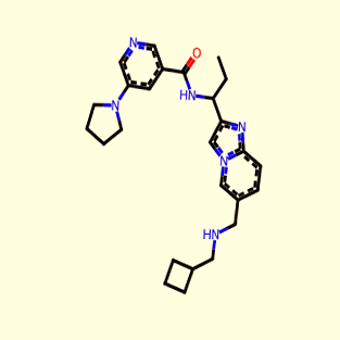 CCC(NC(=O)c1cncc(N2CCCC2)c1)c1cn2cc(CNCC3CCC3)ccc2n1